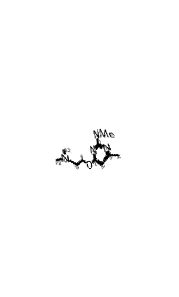 CNc1nc(C)cc(OCCN(C)C)n1